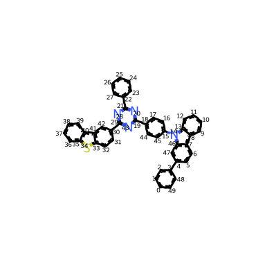 c1ccc(-c2ccc3c4ccccc4n(-c4ccc(-c5nc(-c6ccccc6)nc(-c6ccc7sc8ccccc8c7c6)n5)cc4)c3c2)cc1